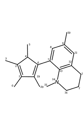 CC1=C(C)C(C)C(c2cc(C)cc3c2N(C)CCC3)=C1C